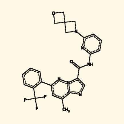 Cc1cc(-c2ccccc2C(F)(F)F)nn2c(C(=O)Nc3cccc(N4CC5(COC5)C4)n3)cnc12